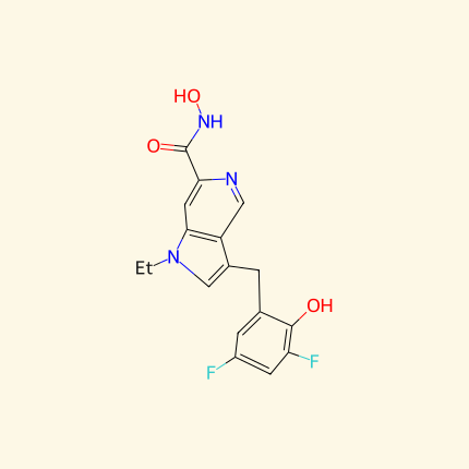 CCn1cc(Cc2cc(F)cc(F)c2O)c2cnc(C(=O)NO)cc21